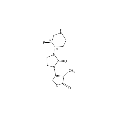 CC1=C(N2CCN([C@H]3CCNC[C@@H]3F)C2=O)COC1=O